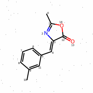 CC1=N/C(=C\c2cccc(C)c2)C(=O)O1